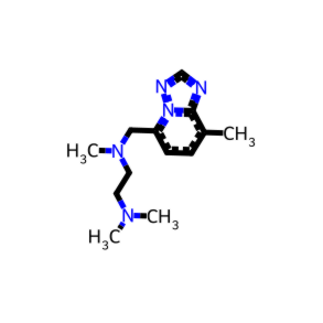 Cc1ccc(CN(C)CCN(C)C)n2ncnc12